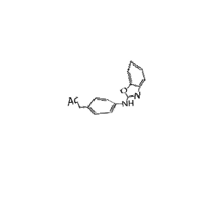 CC(=O)Cc1ccc(Nc2nc3ccccc3o2)cc1